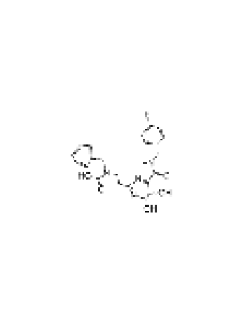 O=C(NCc1ccc(F)cc1)c1nc(CCN(Cc2ccccc2)C(=O)O)nc(O)c1O